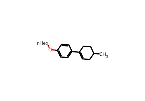 CCCCCCOc1ccc(C2=CCC(C)CC2)cc1